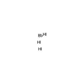 I.I.I.[Rb]